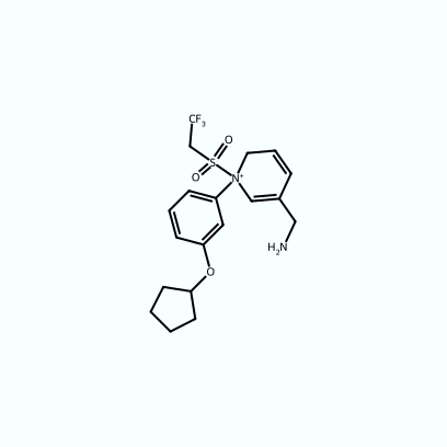 NCC1=C[N+](c2cccc(OC3CCCC3)c2)(S(=O)(=O)CC(F)(F)F)CC=C1